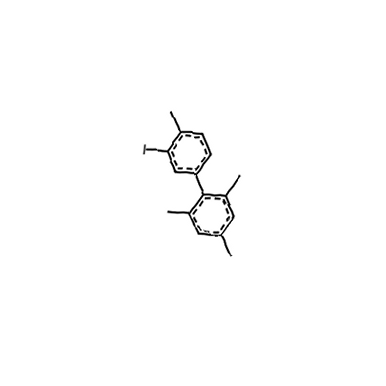 Cc1cc(C)c(-c2ccc(C)c(I)c2)c(C)c1